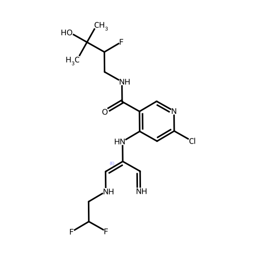 CC(C)(O)C(F)CNC(=O)c1cnc(Cl)cc1N/C(C=N)=C/NCC(F)F